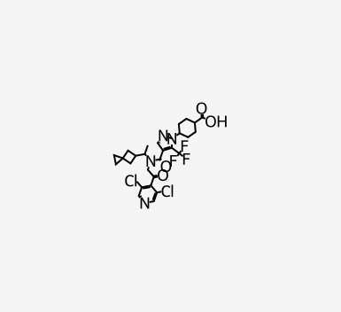 CC(C1CC2(CC2)C1)N(CC(=O)c1c(Cl)cncc1Cl)C(=O)c1cnn(C2CCC(C(=O)O)CC2)c1C(F)(F)F